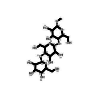 CO[C@@H]1OC(CO)[C@@H](O[C@@H]2OC(CO)[C@H](O[C@H]3OC(CO)[C@H](O)C(O)C3O)C(O)C2O)C(O)C1O